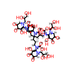 O=C1CN(CC(O)CO)C(N(CCCC(CCCN(C(=O)O)C2=C(O)C(=O)C(=O)CN2CC(O)CO)(CCCN(C(=O)O)C2=C(O)C(=O)C(=O)CN2CC(O)CO)N(C(=O)O)c2ccccc2)C(=O)O)=C(O)C1=O